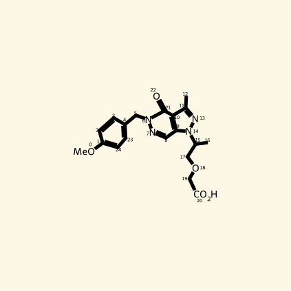 COc1ccc(Cn2ncc3c(c(C)nn3C(C)COCC(=O)O)c2=O)cc1